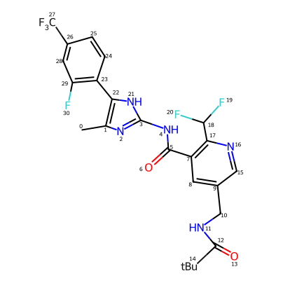 Cc1nc(NC(=O)c2cc(CNC(=O)C(C)(C)C)cnc2C(F)F)[nH]c1-c1ccc(C(F)(F)F)cc1F